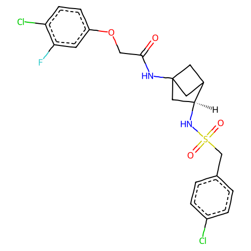 O=C(COc1ccc(Cl)c(F)c1)NC12CC(C1)[C@@H](NS(=O)(=O)Cc1ccc(Cl)cc1)C2